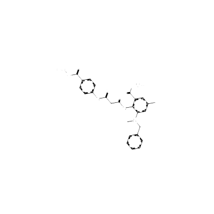 COC(=O)c1cc(F)cc(N(C)Cc2ccccc2)c1NC(=O)CC(=O)Nc1ccc(C(=O)OC(C)(C)C)cc1